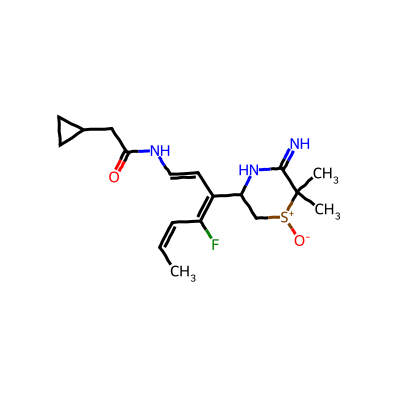 C\C=C/C(F)=C(\C=C\NC(=O)CC1CC1)C1C[S+]([O-])C(C)(C)C(=N)N1